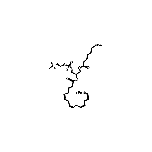 CCCCC/C=C\C/C=C\C/C=C\C/C=C\CCCC(=O)OC(COC(=O)CCCCCCCCCCCCCCC)COP(=O)([O-])OCC[N+](C)(C)C